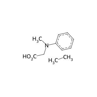 CC.CN(CC(=O)O)c1ccccc1